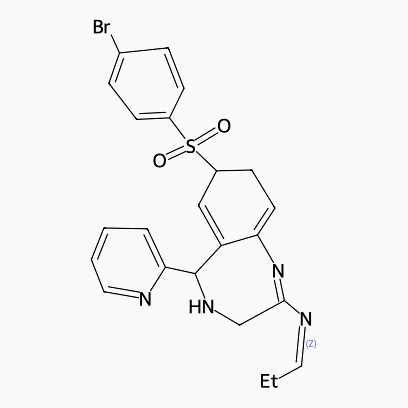 CC/C=N\C1=NC2=CCC(S(=O)(=O)c3ccc(Br)cc3)C=C2C(c2ccccn2)NC1